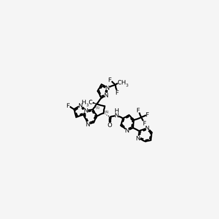 CC(F)(F)n1ccc([C@]2(C)C[C@H](C(=O)Nc3cnc(-c4ncccn4)c(C(F)(F)F)c3)c3cnc4cc(F)nn4c32)n1